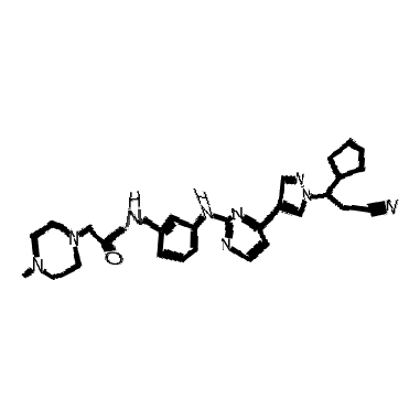 CN1CCN(CC(=O)Nc2cccc(Nc3nccc(-c4cnn(C(CC#N)C5CCCC5)c4)n3)c2)CC1